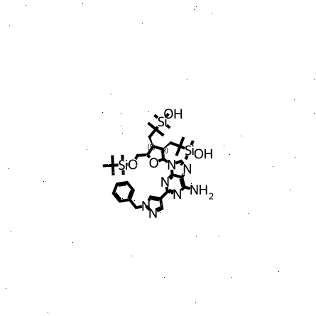 CC(C)(C[C@@H]1C(CO[Si](C)(C)C(C)(C)C)OC(n2cnc3c(N)nc(-c4cnn(Cc5ccccc5)c4)nc32)[C@@H]1CC(C)(C)[Si](C)(C)O)[Si](C)(C)O